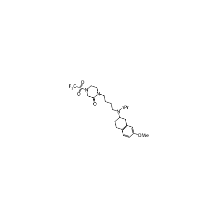 CCCN(CCCCN1CCN(S(=O)(=O)C(F)(F)F)CC1=O)C1CCc2ccc(OC)cc2C1